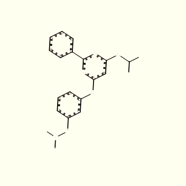 CC(C)Nc1cc(Nc2cccc(SN(C)C)c2)nc(-c2ccccc2)n1